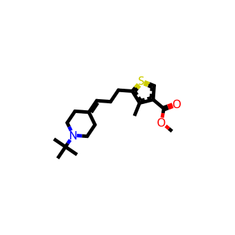 COC(=O)c1csc(CCC=C2CCN(C(C)(C)C)CC2)c1C